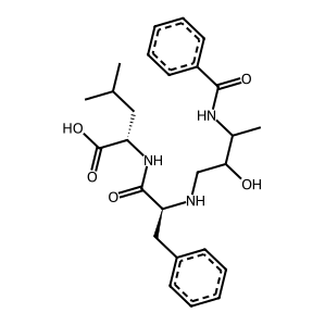 CC(C)C[C@H](NC(=O)[C@H](Cc1ccccc1)NCC(O)C(C)NC(=O)c1ccccc1)C(=O)O